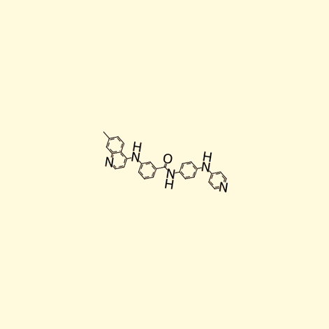 Cc1ccc2c(Nc3cccc(C(=O)Nc4ccc(Nc5ccncc5)cc4)c3)ccnc2c1